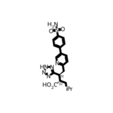 CC(C)C[C@H](C(=O)O)[C@H](Cc1ccc(-c2ccc(S(N)(=O)=O)cc2)cn1)c1nn[nH]n1